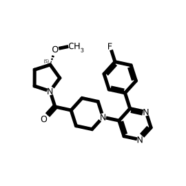 CO[C@H]1CCN(C(=O)C2CCN(c3cncnc3-c3ccc(F)cc3)CC2)C1